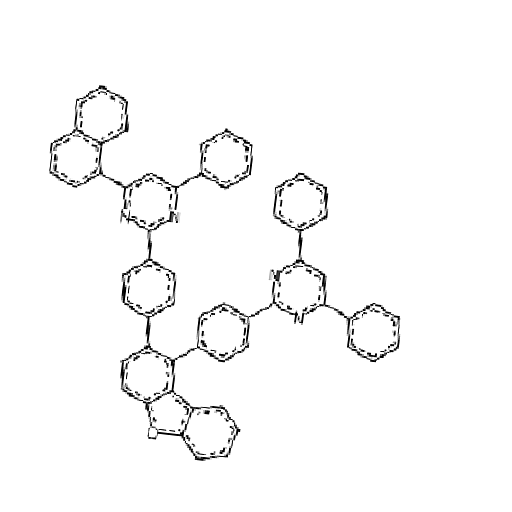 c1ccc(-c2cc(-c3ccccc3)nc(-c3ccc(-c4c(-c5ccc(-c6nc(-c7ccccc7)cc(-c7cccc8ccccc78)n6)cc5)ccc5oc6ccccc6c45)cc3)n2)cc1